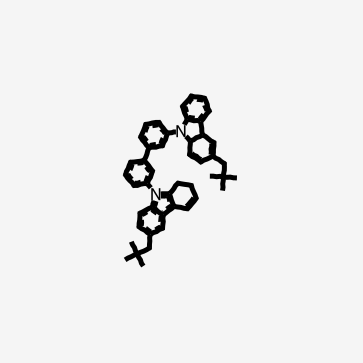 CC(C)(C)CC1=CC2c3ccccc3N(c3cccc(-c4cccc(-n5c6c(c7cc(CC(C)(C)C)ccc75)C=CCC6)c4)c3)C2C=C1